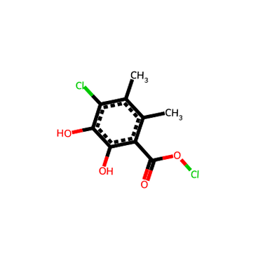 Cc1c(C)c(C(=O)OCl)c(O)c(O)c1Cl